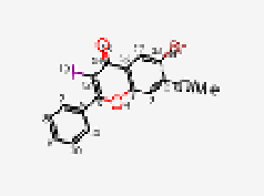 COc1cc2oc(-c3ccccc3)c(I)c(=O)c2cc1Br